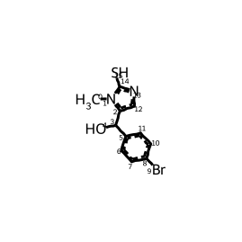 Cn1c(C(O)c2ccc(Br)cc2)cnc1S